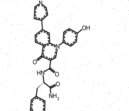 NC(=O)[C@H](Cc1ccccc1)NC(=O)c1cn(-c2ccc(O)cc2)c2cc(-c3ccncc3)ccc2c1=O